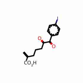 C=C(CCCC(=O)C(=O)c1ccc(I)cc1)C(=O)O